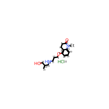 CCN1C(=O)CCc2c(OCCCNCC(C)CO)cccc21.Cl